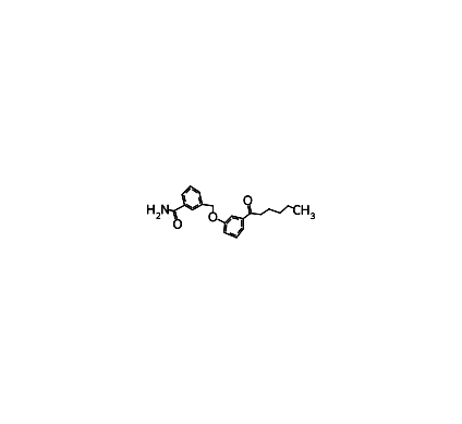 CCCCCC(=O)c1cccc(OCc2cccc(C(N)=O)c2)c1